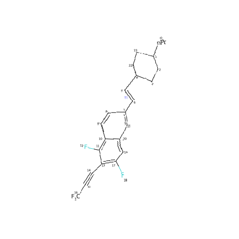 CCCC1CCC(/C=C/c2ccc3c(F)c(C#CC(F)(F)F)c(F)cc3c2)CC1